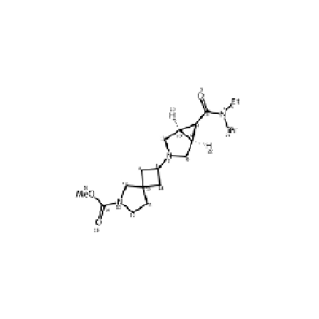 CCN(C(=O)C1[C@H]2CN(C3CC4(CCN(C(=O)OC)C4)C3)C[C@@H]12)C(C)C